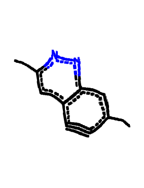 Cc1c#cc2cc(C)nnc2c1